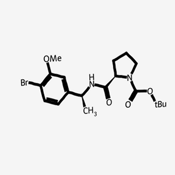 COc1cc([C@H](C)NC(=O)[C@H]2CCCN2C(=O)OC(C)(C)C)ccc1Br